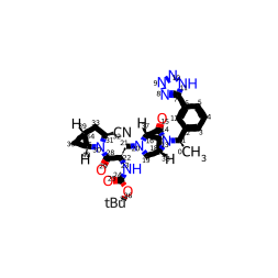 C[C@@H](c1cccc(-c2nnn[nH]2)c1)N1C(=O)[C@@H]2C[C@H]1CN2C[C@H](NC(=O)OC(C)(C)C)C(=O)N1[C@H](C#N)C[C@@H]2C[C@@H]21